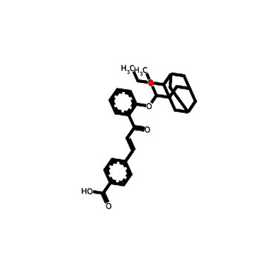 CCOC(Oc1ccccc1C(=O)C=Cc1ccc(C(=O)O)cc1)C12CC3CC(CC(C3)C1OC)C2